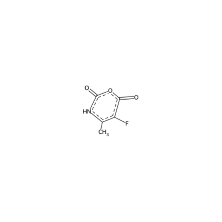 Cc1[nH]c(=O)oc(=O)c1F